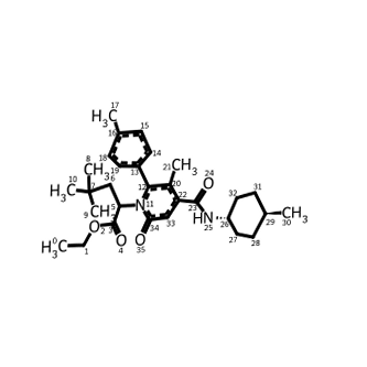 CCOC(=O)C(CC(C)(C)C)n1c(-c2ccc(C)cc2)c(C)c(C(=O)N[C@H]2CC[C@H](C)CC2)cc1=O